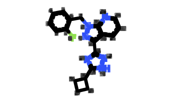 Fc1ccccc1Cn1nc(-c2n[nH]c(C3CCC3)n2)c2cccnc21